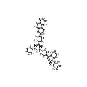 c1ccc(-c2cc(-c3ccc(-c4nc5sc6ccccc6c5c5ccccc45)cc3)nc(-c3ccc(-c4ccc5c(ccc6ccccc65)c4)cc3)n2)cc1